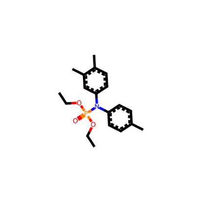 CCOP(=O)(OCC)N(c1ccc(C)cc1)c1ccc(C)c(C)c1